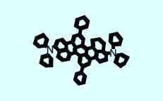 c1ccc(-c2cc3c4ccc(N(c5ccccc5)c5ccccc5)c5cccc(c54)c4c5cc(-c6ccccc6)cc6c7ccc(N(c8ccccc8)c8ccccc8)c8cccc(c87)c(c(c2)c34)c65)cc1